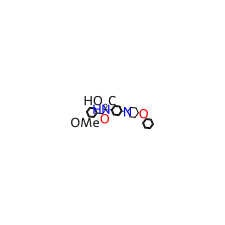 COc1ccccc1C(=O)Nc1ccc(N2CCC(Oc3ccccc3)CC2)cc1C(=O)O